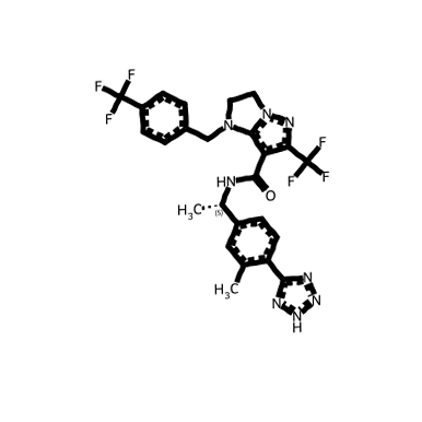 Cc1cc([C@H](C)NC(=O)c2c(C(F)(F)F)nn3c2N(Cc2ccc(C(F)(F)F)cc2)CC3)ccc1-c1nn[nH]n1